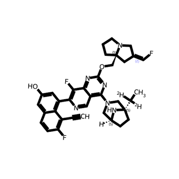 [2H]C([2H])(C)[C@@]12CC[C@@H](CN(c3nc(OC[C@@]45CCCN4C/C(=C\F)C5)nc4c(F)c(-c5cc(O)cc6ccc(F)c(C#C)c56)ncc34)C1)N2